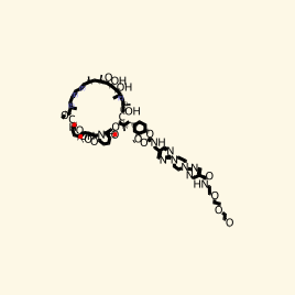 COCCOCCOCCNC(=O)c1cnc(N2CCN(c3ncc(CNC(=O)O[C@@H]4CC[C@@H](C[C@@H](C)[C@@H]5C[C@@H](O)[C@H](C)/C=C(\C)[C@@H](O)[C@@H](O)C(=O)[C@H](C)C[C@H](C)/C=C/C=C/C=C(\C)[C@@H](OC)C[C@@H]6CC[C@@H](C)[C@@](O)(O6)C(=O)C(=O)N6CCCC[C@H]6C(=O)O5)C[C@H]4OC)cn3)CC2)nc1